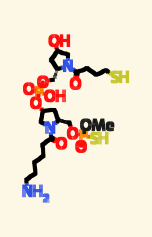 COP(=O)(S)OC[C@@H]1CC(OP(=O)(O)OC[C@@H]2C[C@@H](O)CN2C(=O)CCCS)CN1C(=O)CCCCCN